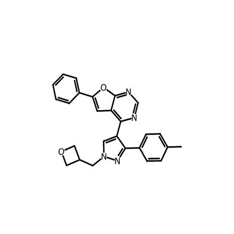 Cc1ccc(-c2nn(CC3COC3)cc2-c2ncnc3oc(-c4ccccc4)cc23)cc1